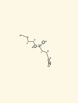 CCCCOC(=O)CCC#N